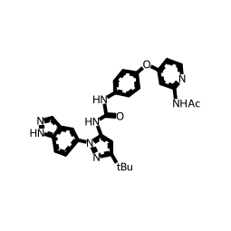 CC(=O)Nc1cc(Oc2ccc(NC(=O)Nc3cc(C(C)(C)C)nn3-c3ccc4[nH]ncc4c3)cc2)ccn1